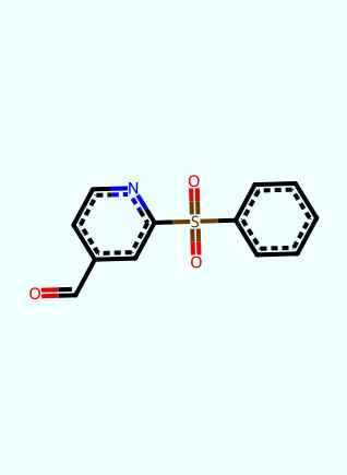 O=Cc1ccnc(S(=O)(=O)c2ccccc2)c1